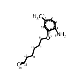 Cc1ccc(N)c(OCCCCCC=O)c1